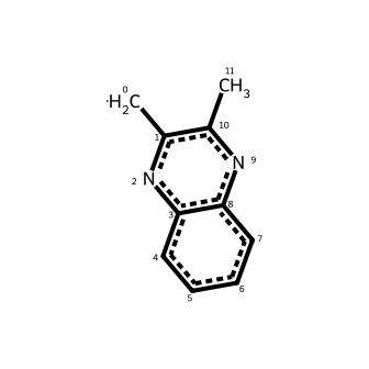 [CH2]c1nc2ccccc2nc1C